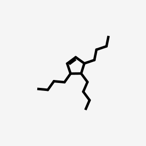 CCCCC1C=CC(CCCC)C1CCCC